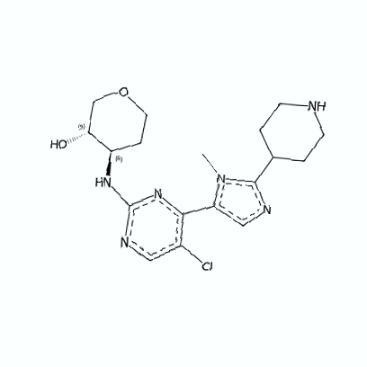 Cn1c(-c2nc(N[C@@H]3CCOC[C@H]3O)ncc2Cl)cnc1C1CCNCC1